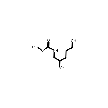 CCCC(CCCO)CNC(=O)OC(C)(C)C